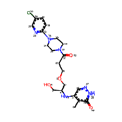 Cc1c(N[C@@H](CO)COCCC(=O)N2CCN(c3ccc(Cl)cn3)CC2)cn[nH]c1=O